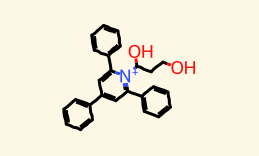 OCCC(O)[n+]1c(-c2ccccc2)cc(-c2ccccc2)cc1-c1ccccc1